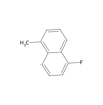 Cc1cccc2c(F)cc[c]c12